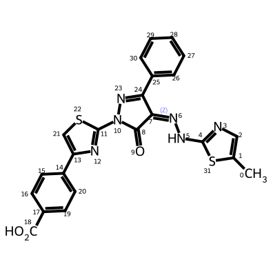 Cc1cnc(N/N=C2\C(=O)N(c3nc(-c4ccc(C(=O)O)cc4)cs3)N=C2c2ccccc2)s1